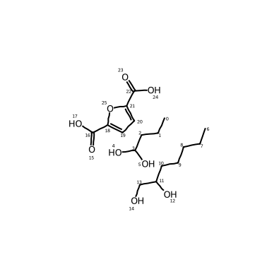 CCCC(O)O.CCCCCC(O)CO.O=C(O)c1ccc(C(=O)O)o1